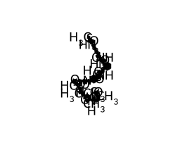 CSCC(=O)NCCCCCC(=O)NCC(=O)Nc1ccccc1CCC(=O)NS(=O)(=O)c1ccc(CNC(=O)C[C@@H]2C[C@@]3(CO3)[C@H](O)[C@@H](/C=C/C(C)=C/C[C@@H]3O[C@H](C)[C@H](NC(=O)/C=C\[C@H](C)OC(C)=O)C[C@@H]3C)O2)cc1